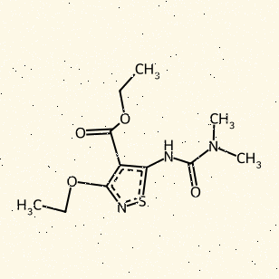 CCOC(=O)c1c(OCC)nsc1NC(=O)N(C)C